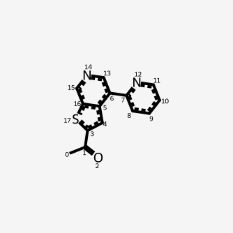 CC(=O)c1cc2c(-c3ccccn3)cncc2s1